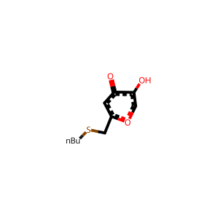 CCCCSCc1cc(=O)c(O)co1